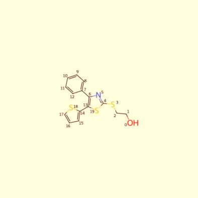 OCCSc1nc(-c2ccccc2)c(-c2cccs2)s1